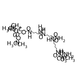 CC(NC(=O)[C@H](C)N)C(=O)NCCCCCC(=O)N[C@@H](CCCCNC(=O)[C@@H](N)CCCCNC(=O)c1ccc(-c2c3ccc(=[N+](C)C)cc-3oc3cc(N(C)C)ccc23)c(C(=O)O)c1)C(N)=O